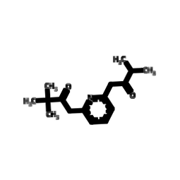 CC(C)C(=O)Cc1cccc(CC(=O)C(C)(C)C)n1